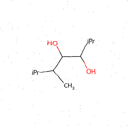 CC(C)C(C)C(O)C(O)C(C)C